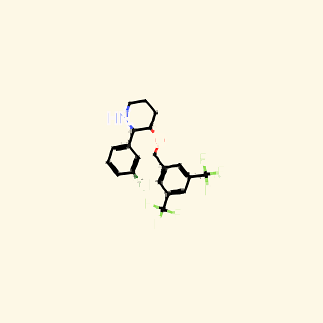 FC(F)(F)c1cc(COC2CCCNC2c2cccc(Cl)c2)cc(C(F)(F)F)c1